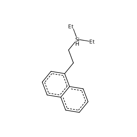 CC[SiH](CC)CCc1cccc2ccccc12